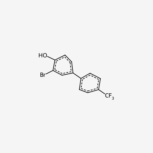 Oc1ccc(-c2ccc(C(F)(F)F)cc2)cc1Br